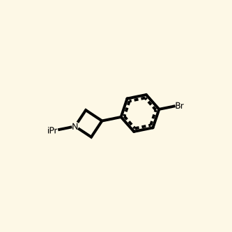 CC(C)N1CC(c2ccc(Br)cc2)C1